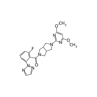 COc1cc(OC)nc(N2CC3CN(C(=O)c4c(F)cccc4-n4nccn4)CC3C2)n1